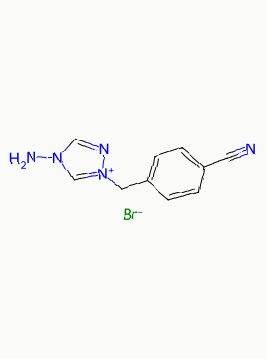 N#Cc1ccc(C[n+]2cn(N)cn2)cc1.[Br-]